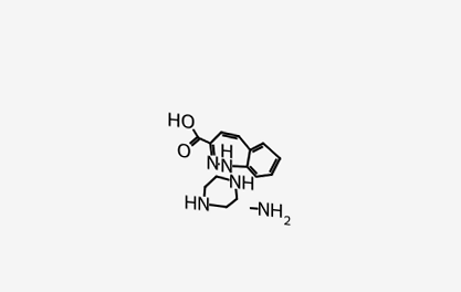 C1CNCCN1.CN.O=C(O)C1=NNc2ccccc2C=C1